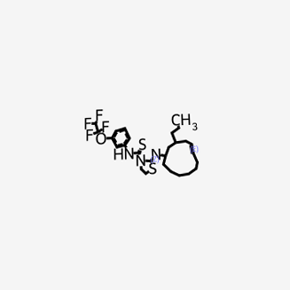 CCCC1C/C=C/CCCCCCC(/N=C2\SCCN2C(=S)Nc2cccc(OC(F)(F)C(F)F)c2)C1